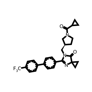 O=C(C1CC1)N1CC[C@@H](CN2C(=O)C3(CC3)N=C2c2ccc(-c3ccc(C(F)(F)F)cc3)cc2)C1